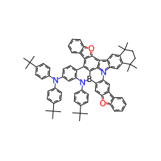 CC(C)(C)c1ccc(N2B3c4cc5oc6ccccc6c5cc4-n4c5cc6c(cc5c5c7oc8ccccc8c7c(c3c54)-c3ccc(N(c4ccc(C(C)(C)C)cc4)c4ccc(C(C)(C)C)cc4)cc32)C(C)(C)CCC6(C)C)cc1